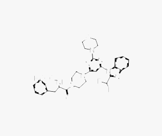 O=C(O)NC(Cc1ccccc1)C(=O)N1CCN(c2cc(-n3c(C(F)F)nc4ccccc43)nc(N3CCOCC3)n2)CC1